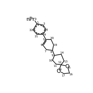 CCCc1ccc(C2=CCC(C3CCC4(CC3)OCCO4)CC2)cc1